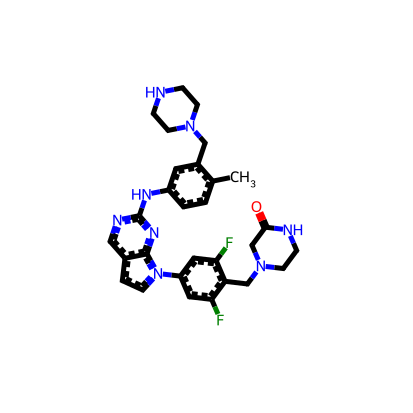 Cc1ccc(Nc2ncc3ccn(-c4cc(F)c(CN5CCNC(=O)C5)c(F)c4)c3n2)cc1CN1CCNCC1